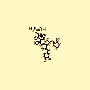 C[C@H](O)CNC(=O)c1c(O)c2ncc(Cc3ccc(F)cc3)cc2n(CCCN2CCCCC2=O)c1=O